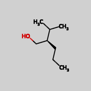 CCC[C@@H](CO)C(C)C